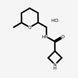 CC1CCCC(CNC(=O)C2CNC2)O1.Cl